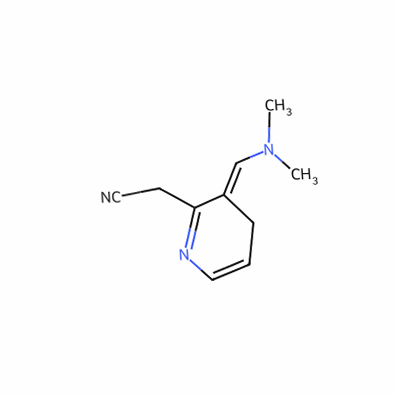 CN(C)C=C1CC=CN=C1CC#N